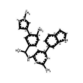 Cc1nc(NC(C)c2ccc([N+](=O)[O-])c(-c3cnn(C)c3)c2)cc(-c2ccc3cc[nH]c3c2)n1